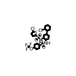 O=S(=O)(Nc1ccc(-c2ccccc2Cl)cc1NS(=O)(=O)c1ccc(Cl)s1)c1ccc(OC(F)(F)F)cc1